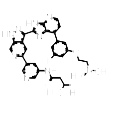 CC(C)CC(=O)Nc1cncc(-c2cc3c(-c4nc5c(-c6cc(F)cc(OCCN(C)C)c6)ccnc5[nH]4)n[nH]c3cn2)c1